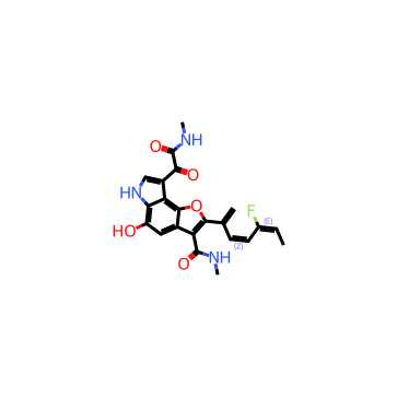 C=C(/C=C\C(F)=C/C)c1oc2c(cc(O)c3[nH]cc(C(=O)C(=O)NC)c32)c1C(=O)NC